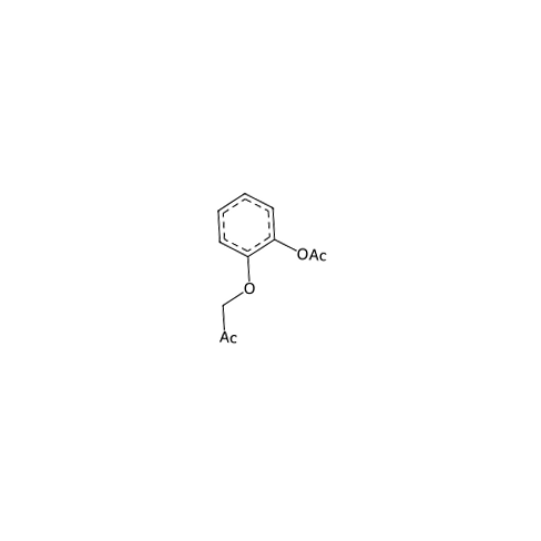 CC(=O)COc1ccccc1OC(C)=O